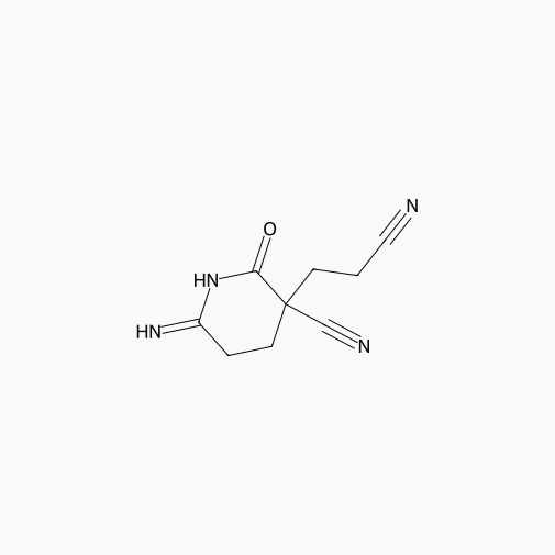 N#CCCC1(C#N)CCC(=N)NC1=O